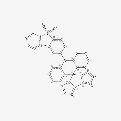 O=S1(=O)c2ccccc2-c2cc(N3c4ccccc4C4(c5ccccc53)c3ccoc3-c3occc34)ccc21